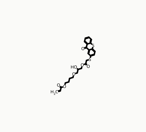 C=CC(=O)OCCCCOCC(O)COC(=O)CSc1ccc2sc3ccccc3c(=O)c2c1